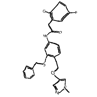 Cn1cc(OCc2ccc(NC(=O)Cc3cc(F)ccc3Cl)cc2SCc2ccccc2)cn1